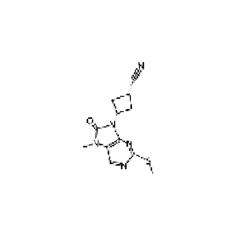 CSc1ncc2c(n1)n([C@H]1C[C@@H](C#N)C1)c(=O)n2C